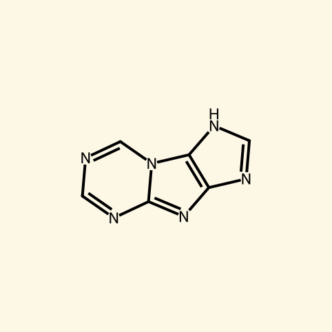 c1ncn2c(n1)nc1nc[nH]c12